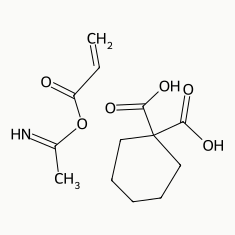 C=CC(=O)OC(C)=N.O=C(O)C1(C(=O)O)CCCCC1